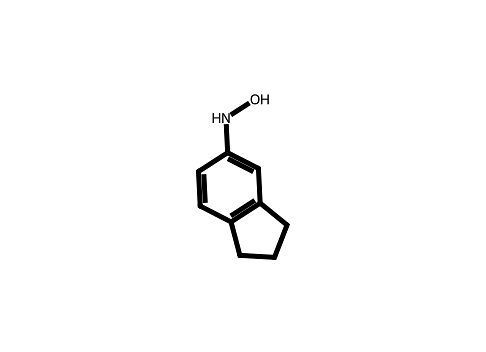 ONc1ccc2c(c1)CCC2